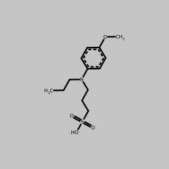 CCCN(CCCS(=O)(=O)O)c1ccc(OC)cc1